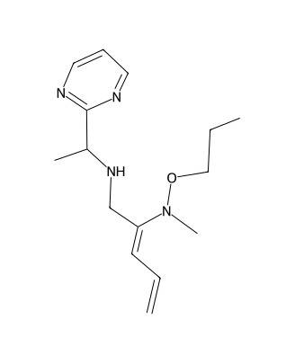 C=C/C=C(/CNC(C)c1ncccn1)N(C)OCCC